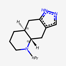 CCCN1CCC[C@H]2Cc3[nH]ncc3C[C@@H]21